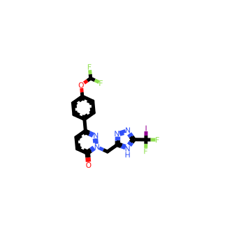 O=c1ccc(-c2ccc(OC(F)F)cc2)nn1Cc1nnc(C(F)(F)I)[nH]1